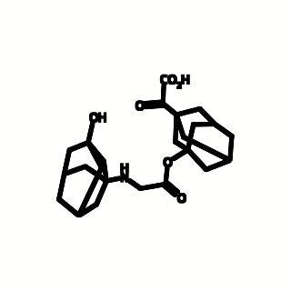 O=C(CNC12CC3CC(CC(O)(C3)C1)C2)OC12CC3CC(C1)CC(C(=O)C(=O)O)(C3)C2